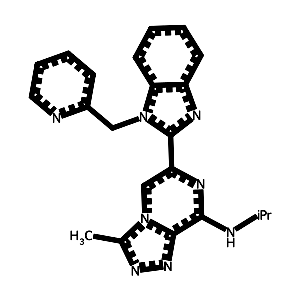 Cc1nnc2c(NC(C)C)nc(-c3nc4ccccc4n3Cc3ccccn3)cn12